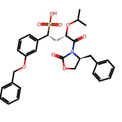 CC(C)O[C@@H](C[C@H](c1cccc(OCc2ccccc2)c1)S(=O)(=O)O)C(=O)N1C(=O)OC[C@@H]1Cc1ccccc1